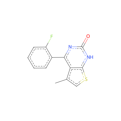 Cc1csc2[nH]c(=O)nc(-c3ccccc3F)c12